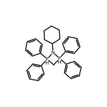 c1ccc([PH]2(c3ccccc3)C[PH](c3ccccc3)(c3ccccc3)N2C2CCCCC2)cc1